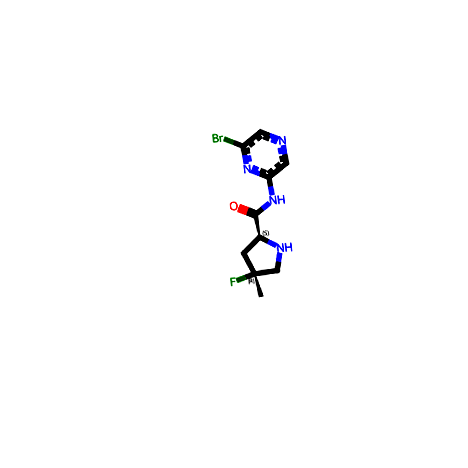 C[C@]1(F)CN[C@H](C(=O)Nc2cncc(Br)n2)C1